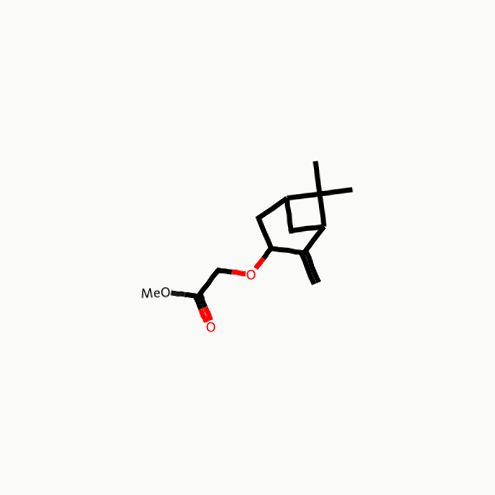 C=C1C(OCC(=O)OC)CC2CC1C2(C)C